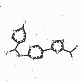 CC(Nc1ncc(-c2nnc(C(F)F)o2)cn1)c1ccc(Cl)nc1